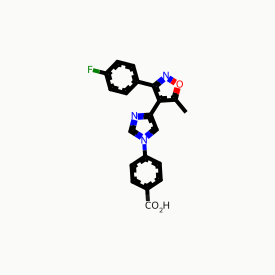 Cc1onc(-c2ccc(F)cc2)c1-c1cn(-c2ccc(C(=O)O)cc2)cn1